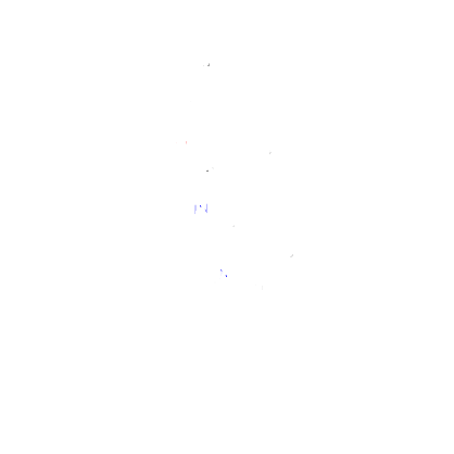 CCCc1csc(NC(=O)OC(C)(C)C)n1